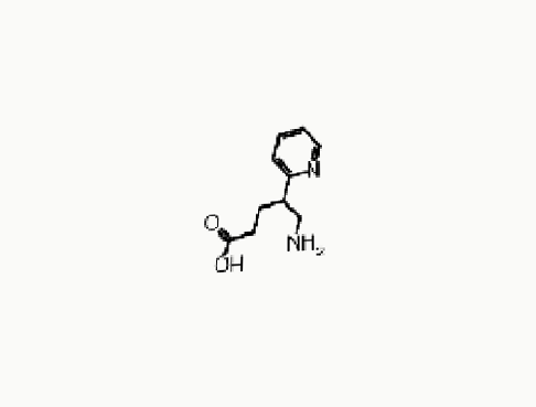 NCC(CCC(=O)O)c1ccccn1